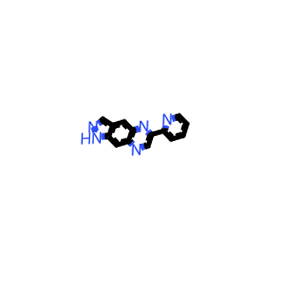 c1ccc(-c2cnc3cc4[nH]ncc4cc3n2)nc1